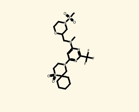 CN(CC1CN(S(C)(=O)=O)CCO1)c1cc(N2CCS(=O)(=O)C3(CCCCC3)C2)nc(C(F)(F)F)n1